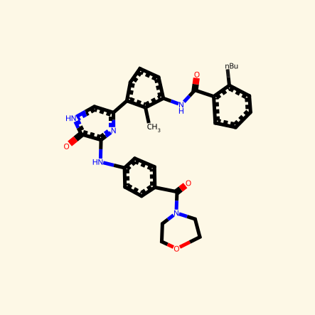 CCCCc1ccccc1C(=O)Nc1cccc(-c2c[nH]c(=O)c(Nc3ccc(C(=O)N4CCOCC4)cc3)n2)c1C